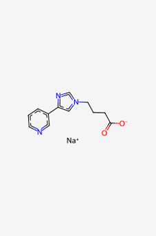 O=C([O-])CCCn1cnc(-c2cccnc2)c1.[Na+]